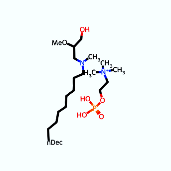 CCCCCCCCCCCCCCCCCCN(C)CC(CO)OC.C[N+](C)(C)CCOP(=O)(O)O